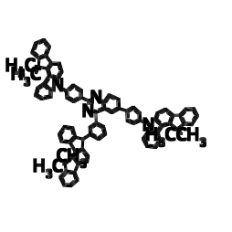 CC1(C)c2ccccc2-c2ccc3c(c21)-c1ccccc1C3c1cccc(-c2nc(-c3ccc(-n4c5ccccc5c5c6c(ccc54)-c4ccccc4C6(C)C)cc3)nc3ccc(-c4ccc(-n5c6ccccc6c6c7c(ccc65)-c5ccccc5C7(C)C)cc4)cc23)c1